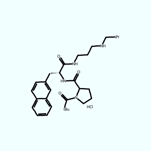 CC(C)CNCCCNC(=O)[C@@H](Cc1ccc2ccccc2c1)NC(=O)C1CCCN1C(=O)C(C)(C)C.Cl